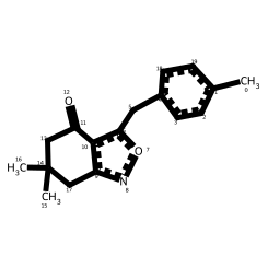 Cc1ccc(Cc2onc3c2C(=O)CC(C)(C)C3)cc1